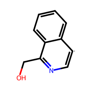 OCc1nc[c]c2ccccc12